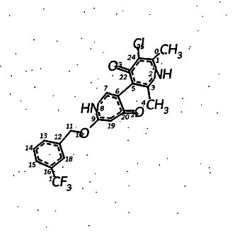 Cc1[nH]c(C)c(-c2c[nH]c(OCc3cccc(C(F)(F)F)c3)cc2=O)c(=O)c1Cl